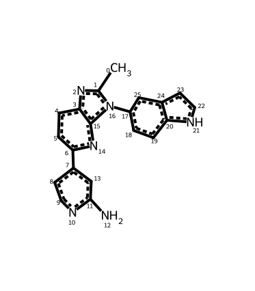 Cc1nc2ccc(-c3ccnc(N)c3)nc2n1-c1ccc2[nH]ccc2c1